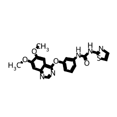 COc1cc2ncnc(Oc3cccc(NC(=O)Nc4nccs4)c3)c2cc1OC